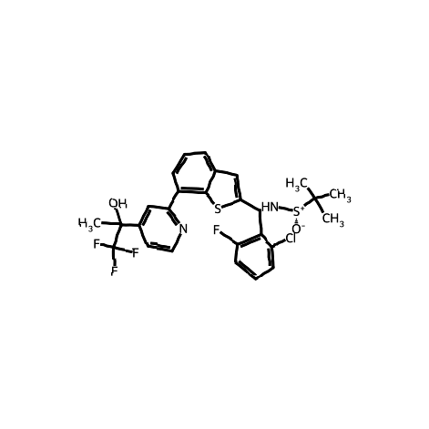 CC(C)(C)[S@+]([O-])NC(c1cc2cccc(-c3cc(C(C)(O)C(F)(F)F)ccn3)c2s1)c1c(F)cccc1Cl